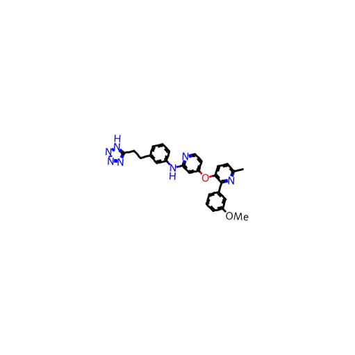 COc1cccc(-c2nc(C)ccc2Oc2ccnc(Nc3cccc(CCc4nnn[nH]4)c3)c2)c1